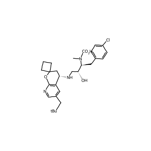 CN(C(=O)O)[C@@H](Cc1ccc(Cl)cc1)[C@H](O)CN[C@H]1CC2(CCC2)Oc2ncc(CC(C)(C)C)cc21